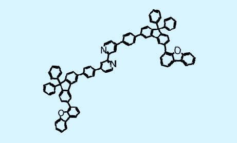 c1ccc(C2(c3ccccc3)c3ccc(-c4ccc(-c5ccnc(-c6cc(-c7ccc(-c8ccc9c(c8)-c8cc(-c%10cccc%11c%10oc%10ccccc%10%11)ccc8C9(c8ccccc8)c8ccccc8)cc7)ccn6)c5)cc4)cc3-c3cc(-c4cccc5c4oc4ccccc45)ccc32)cc1